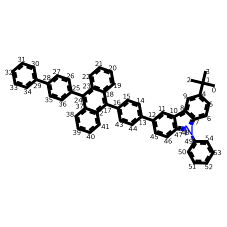 CC(C)(C)c1ccc2c(c1)c1cc(-c3ccc(-c4c5ccccc5c(-c5ccc(-c6ccccc6)cc5)c5ccccc45)cc3)ccc1n2-c1ccccc1